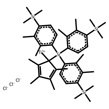 CC1=C(C)[C]([Ti+3])([Si](c2ccc([Si](C)(C)C)c(C)c2C)(c2ccc([Si](C)(C)C)c(C)c2C)c2ccc([Si](C)(C)C)c(C)c2C)C(C)=C1C.[Cl-].[Cl-].[Cl-]